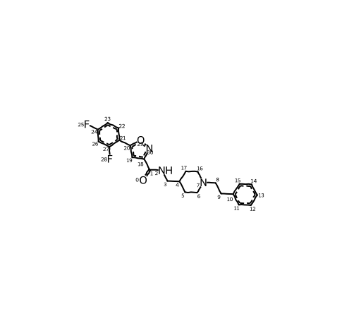 O=C(NCC1CCN(CCc2ccccc2)CC1)c1cc(-c2ccc(F)cc2F)on1